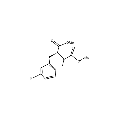 COC(=O)[C@H](Cc1cccc(Br)c1)N(C)C(=O)OC(C)(C)C